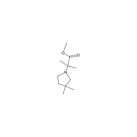 COC(=O)C(C)(C)N1CCC(C)(C)C1